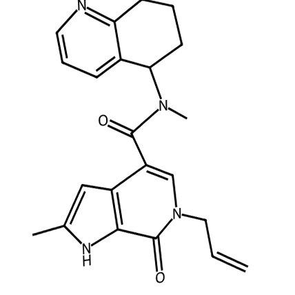 C=CCn1cc(C(=O)N(C)C2CCCc3ncccc32)c2cc(C)[nH]c2c1=O